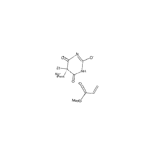 C=CC(=O)OC.CCCC(C)C1(CC)C(=O)N=C([O-])NC1=O.[Na+]